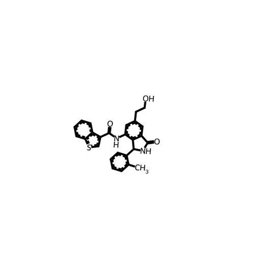 Cc1ccccc1C1NC(=O)c2cc(CCO)cc(NC(=O)c3csc4ccccc34)c21